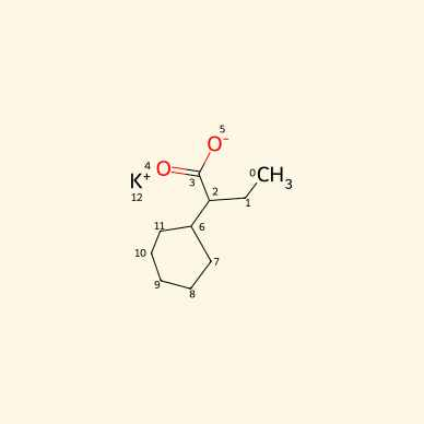 CCC(C(=O)[O-])C1CCCCC1.[K+]